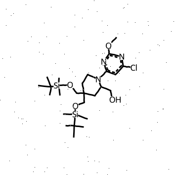 COc1nc(Cl)cc(N2CCC(CO[Si](C)(C)C(C)(C)C)(CO[Si](C)(C)C(C)(C)C)CC2CO)n1